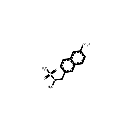 CN(Cc1ccc2cc(C(=O)O)ccc2c1)S(=O)(=O)C(F)(F)F